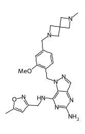 COc1cc(CN2CC3(CN(C)C3)C2)ccc1Cn1ncc2nc(N)nc(NCc3cc(C)on3)c21